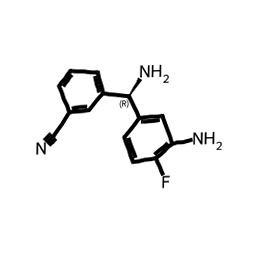 N#Cc1cccc([C@@H](N)c2ccc(F)c(N)c2)c1